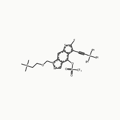 CC(C)[Si](C#Cc1c(F)sc2cc3c(cnn3COCC[Si](C)(C)C)c(OS(=O)(=O)C(F)(F)F)c12)(C(C)C)C(C)C